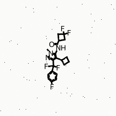 Cn1nc(C(F)(F)c2ccc(F)cc2)c(C2CCC2)c1NC(=O)C1CC(F)(F)C1